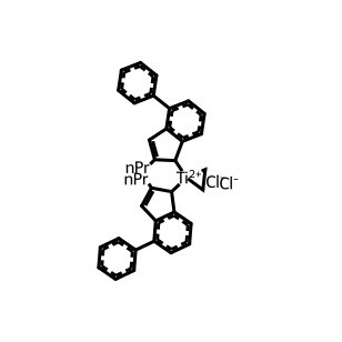 CCCC1=Cc2c(-c3ccccc3)cccc2[CH]1[Ti+2]1([CH]2C(CCC)=Cc3c(-c4ccccc4)cccc32)[CH2][CH2]1.[Cl-].[Cl-]